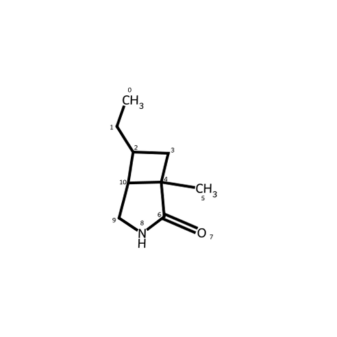 CCC1CC2(C)C(=O)NCC12